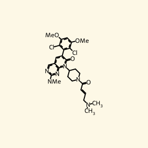 CNc1ncc2cc(-c3c(Cl)c(OC)cc(OC)c3Cl)c(=O)n(C3CCN(C(=O)/C=C/CN(C)C)CC3)c2n1